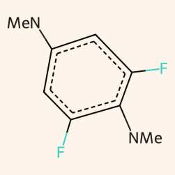 CNc1cc(F)c(NC)c(F)c1